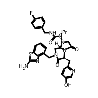 CC(C)N(C(=O)NCc1ccc(F)cc1)N1CC(=O)N2[C@@H](Cc3ccc(O)cn3)C(=O)N(Cc3cccc4sc(N)nc34)C[C@@H]21